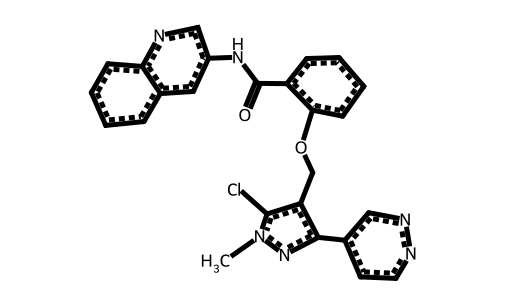 Cn1nc(-c2ccnnc2)c(COc2ccccc2C(=O)Nc2cnc3ccccc3c2)c1Cl